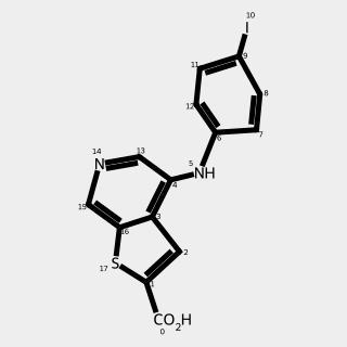 O=C(O)c1cc2c(Nc3ccc(I)cc3)cncc2s1